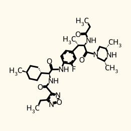 CCC(=O)N[C@@H](C(=O)N1C[C@@H](C)N[C@@H](C)C1)[C@@H](C)c1ccc(NC(=O)[C@@H](NC(=O)c2nonc2CC)[C@H]2CC[C@H](C)CC2)c(F)c1